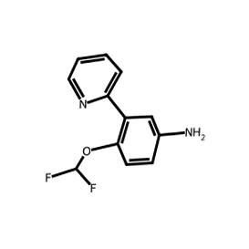 Nc1ccc(OC(F)F)c(-c2ccccn2)c1